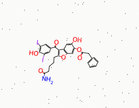 NC(=O)CCCCc1oc2cc(OC(=O)Cc3ccccc3)c(O)cc2c1C(=O)c1cc(I)c(O)c(I)c1